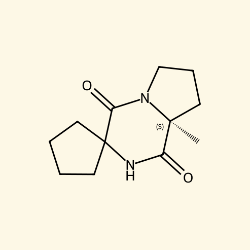 C[C@@]12CCCN1C(=O)C1(CCCC1)NC2=O